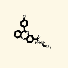 O=C(NNCC(F)(F)F)c1ccc2c(c1)N=C(c1ccc(Cl)cc1)c1ccccc1S2